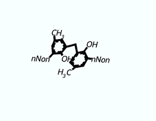 CCCCCCCCCc1cc(C)cc(Cc2cc(C)cc(CCCCCCCCC)c2O)c1O